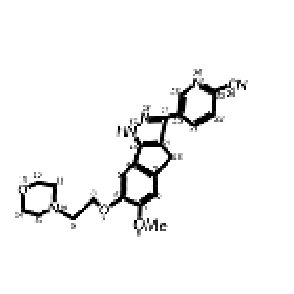 COc1cc2c(cc1OCCN1CCOCC1)-c1[nH]nc(-c3ccc(C#N)nc3)c1C2